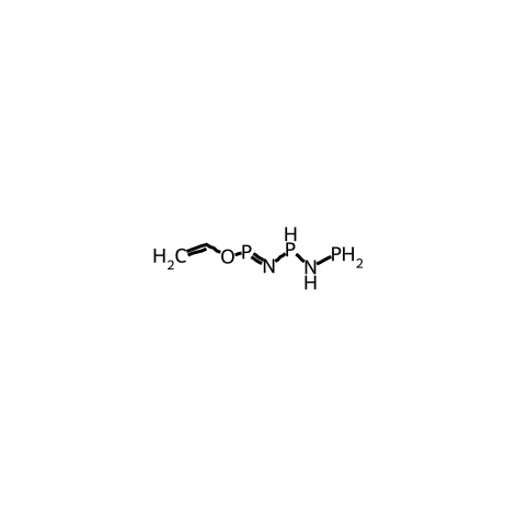 C=COP=NPNP